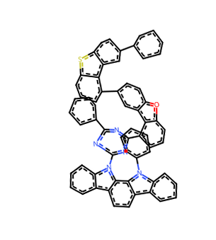 c1ccc(-c2ccc3sc4cccc(-c5ccc6oc7cccc(-c8nc(-c9ccccc9)nc(-n9c%10ccccc%10c%10ccc%11c%12ccccc%12n(-c%12ccccc%12)c%11c%109)n8)c7c6c5)c4c3c2)cc1